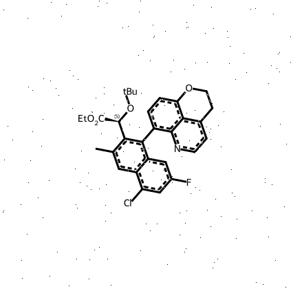 CCOC(=O)[C@@H](OC(C)(C)C)c1c(C)cc2c(Cl)cc(F)cc2c1-c1ccc2c3c(ccnc13)CCO2